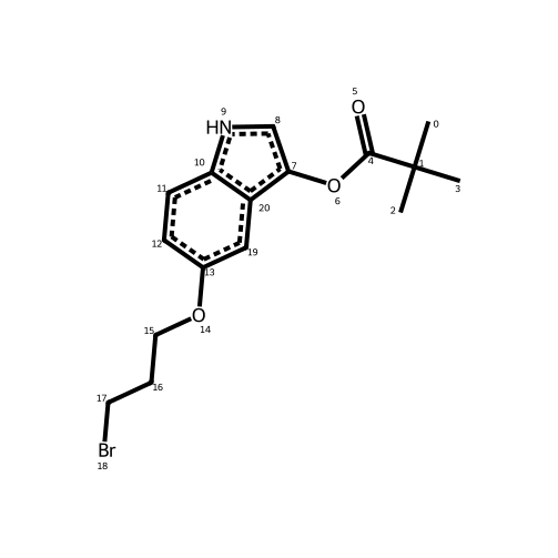 CC(C)(C)C(=O)Oc1c[nH]c2ccc(OCCCBr)cc12